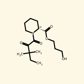 CCC(C)(C)C(=O)C(=O)N1CCCC[C@@H]1C(=O)OCCCO